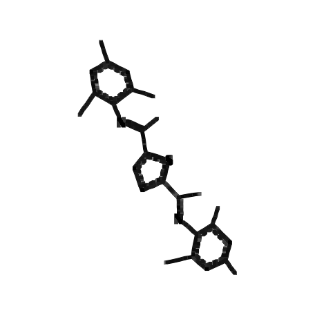 C/C(=N\c1c(C)cc(C)cc1C)c1ccc(/C(C)=N/c2c(C)cc(C)cc2C)s1